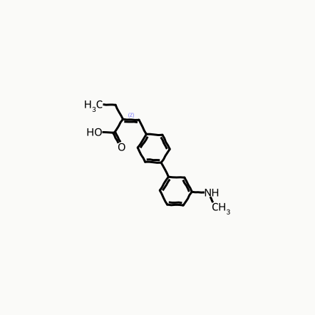 CC/C(=C/c1ccc(-c2cccc(NC)c2)cc1)C(=O)O